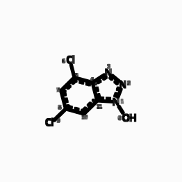 On1nnc2c(Cl)cc(Cl)cc21